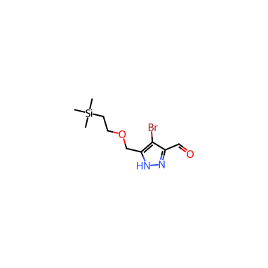 C[Si](C)(C)CCOCc1[nH]nc(C=O)c1Br